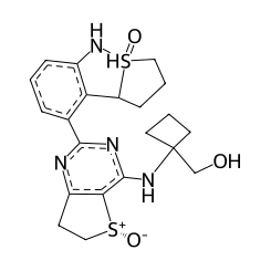 O=[SH]12CCCC1c1c(cccc1-c1nc3c(c(NC4(CO)CCC4)n1)[S@+]([O-])CC3)N2